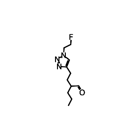 CCCC(C=O)CCc1cn(CCF)nn1